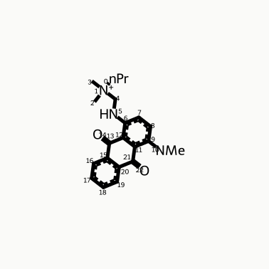 CCC[N+](C)(C)CNc1ccc(NC)c2c1C(=O)c1ccccc1C2=O